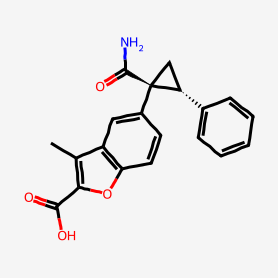 Cc1c(C(=O)O)oc2ccc([C@]3(C(N)=O)C[C@@H]3c3ccccc3)cc12